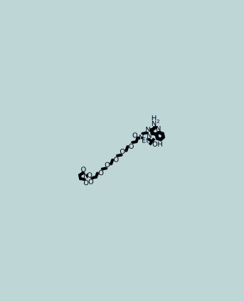 CCN(Cc1nc2c(N)nc3ccccc3c2n1CC(C)(C)O)C(=O)CCOCCOCCOCCOCCOCCC(=O)ON1C(=O)CCC1=O